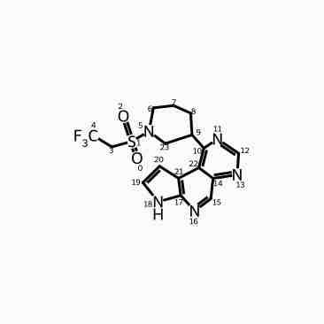 O=S(=O)(CC(F)(F)F)N1CCCC(c2ncnc3cnc4[nH]ccc4c23)C1